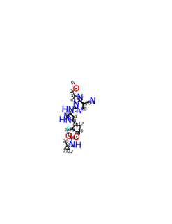 COCc1cn2c(Nc3cc([C@H]4CC[C@@H](OC(=O)NC5(C)CC5)[C@@H]4F)[nH]n3)ncc(C#N)c2n1